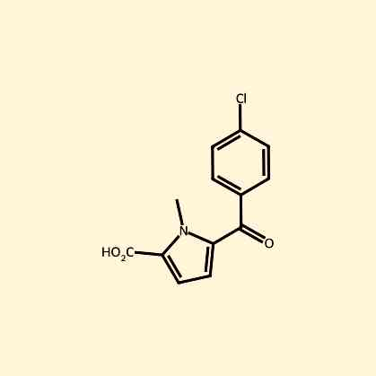 Cn1c(C(=O)O)ccc1C(=O)c1ccc(Cl)cc1